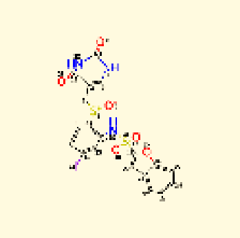 O=c1[nH]cc(C[S+]([O-])c2ccc(I)cc2NS(=O)(=O)c2cc3ccccc3o2)c(=O)[nH]1